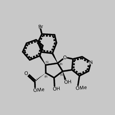 COC(=O)[C@H]1C(O)[C@@]2(O)c3c(OC)cncc3O[C@@]2(c2ccc(Br)cc2)[C@@H]1c1ccccc1